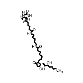 CCCCC[C@H](O)/C=C/[C@@H]1C(C/C=C\CCCC(=O)NCCCCCNC(=O)CCCCC2SC[C@@H]3NC(=O)N[C@H]23)C(=O)C[C@H]1O